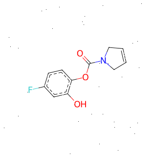 O=C(Oc1ccc(F)cc1O)N1CC=CC1